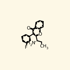 CC[C@H](N)c1oc2ccccc2c(=O)c1-c1cccc(F)c1